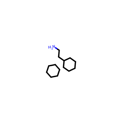 C1CCCCC1.NCCC1CCCCC1